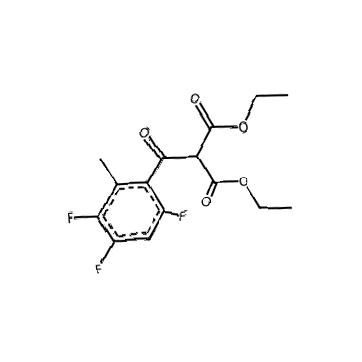 CCOC(=O)C(C(=O)OCC)C(=O)c1c(F)cc(F)c(F)c1C